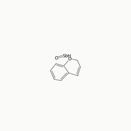 C1=Cc2ccccc2OC1.[O]=[SbH]